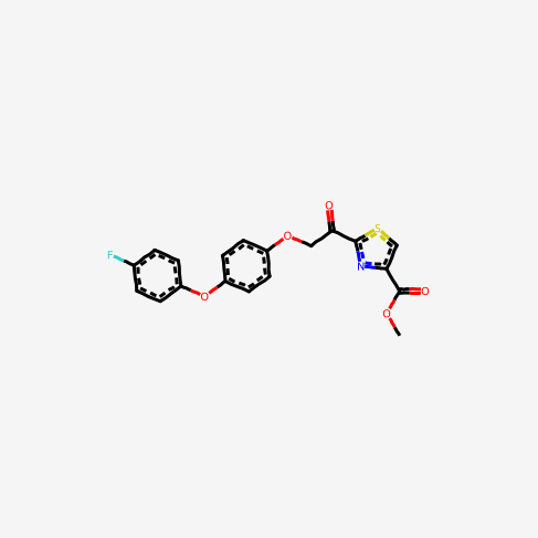 COC(=O)c1csc(C(=O)COc2ccc(Oc3ccc(F)cc3)cc2)n1